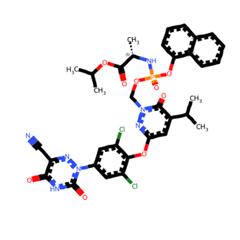 CC(C)OC(=O)[C@H](C)NP(=O)(OCn1nc(Oc2c(Cl)cc(-n3nc(C#N)c(=O)[nH]c3=O)cc2Cl)cc(C(C)C)c1=O)Oc1cccc2ccccc12